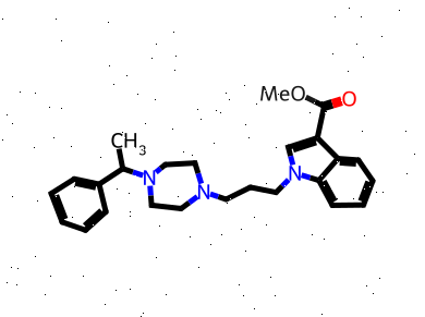 COC(=O)c1cn(CCCN2CCN(C(C)c3ccccc3)CC2)c2ccccc12